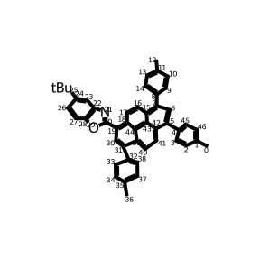 Cc1ccc(-c2cc(-c3ccc(C)cc3)c3ccc4c(-c5nc6cc(C(C)(C)C)ccc6o5)cc(-c5ccc(C)cc5)c5ccc2c3c54)cc1